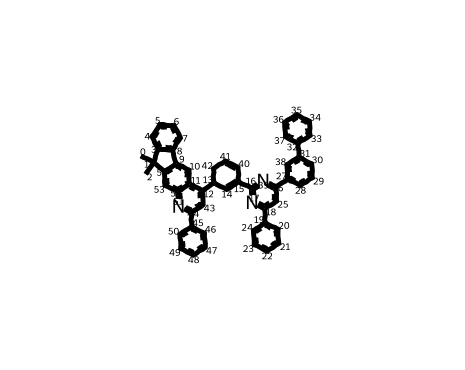 CC1(C)c2ccccc2-c2cc3c(C4C=C(c5nc(-c6ccccc6)cc(-c6cccc(-c7ccccc7)c6)n5)C=CC4)cc(-c4ccccc4)nc3cc21